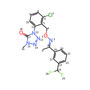 CC(=NOCc1c(Cl)cccc1-n1nnn(C)c1=O)c1cccc(C(F)F)c1